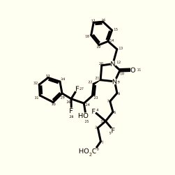 O=C(O)CCC(F)(F)CCCN1C(=O)N(Cc2ccccc2)C[C@@H]1/C=C/C(O)C(F)(F)c1ccccc1